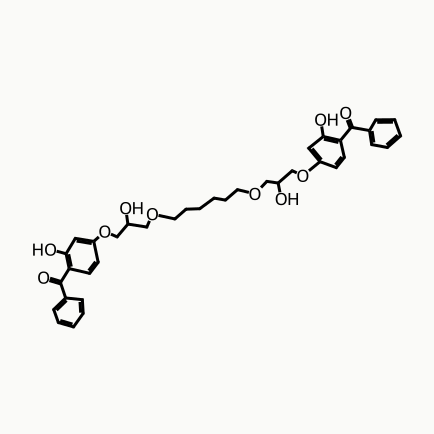 O=C(c1ccccc1)c1ccc(OCC(O)COCCCCCCOCC(O)COc2ccc(C(=O)c3ccccc3)c(O)c2)cc1O